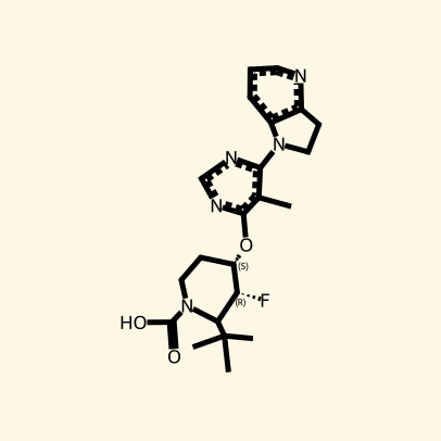 Cc1c(O[C@H]2CCN(C(=O)O)C(C(C)(C)C)[C@H]2F)ncnc1N1CCc2ncccc21